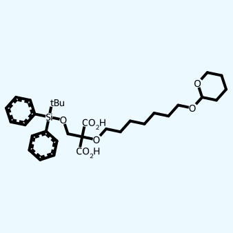 CC(C)(C)[Si](OCC(OCCCCCCCOC1CCCCO1)(C(=O)O)C(=O)O)(c1ccccc1)c1ccccc1